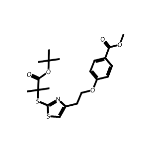 COC(=O)c1ccc(OCCc2csc(SC(C)(C)C(=O)OC(C)(C)C)n2)cc1